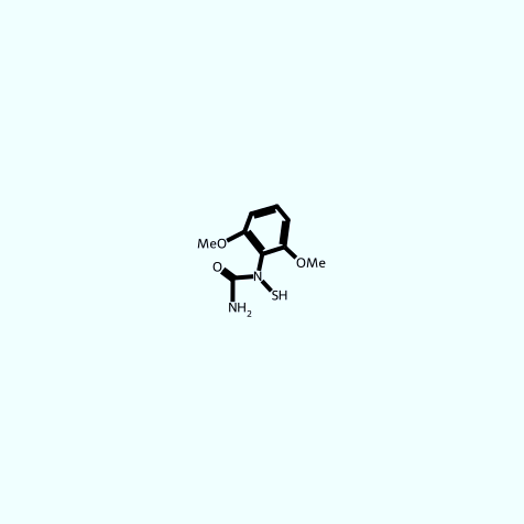 COc1cccc(OC)c1N(S)C(N)=O